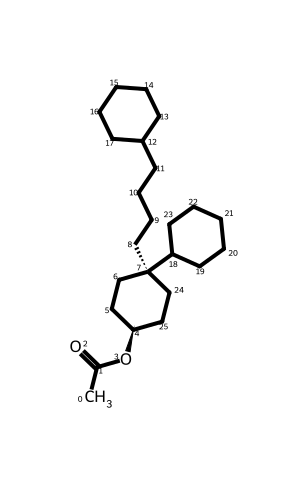 CC(=O)O[C@H]1CC[C@@](CCCCC2CCCCC2)(C2CCCCC2)CC1